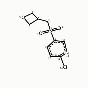 O=S(=O)(CC1COC1)c1ccc(Cl)nc1